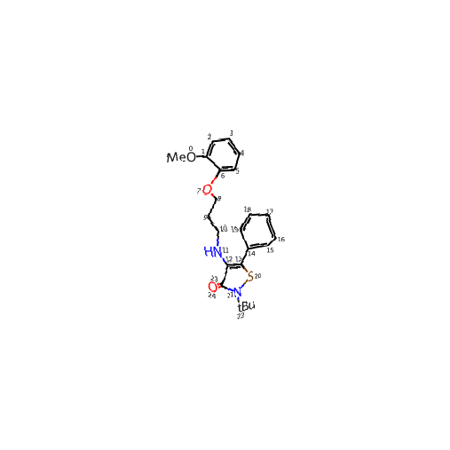 COc1ccccc1OCCCNc1c(-c2ccccc2)sn(C(C)(C)C)c1=O